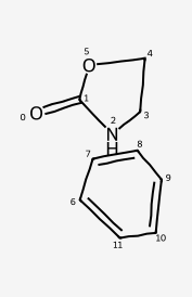 O=C1NCCO1.c1ccccc1